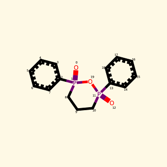 O=P1(c2ccccc2)CCCP(=O)(c2ccccc2)O1